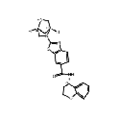 O=C(N[C@H]1CCOc2ccccc21)c1ccc2nc(N3C[C@H]4C[C@@H]3CN4)sc2c1